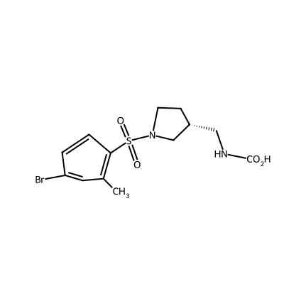 Cc1cc(Br)ccc1S(=O)(=O)N1CC[C@H](CNC(=O)O)C1